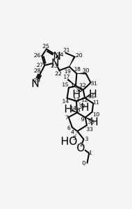 CCOC[C@@]1(O)CC[C@H]2[C@H](CC[C@@H]3[C@@H]2CC[C@]2(C)[C@@H]([C@H](CC)Cn4nccc4C#N)CC[C@@H]32)C1